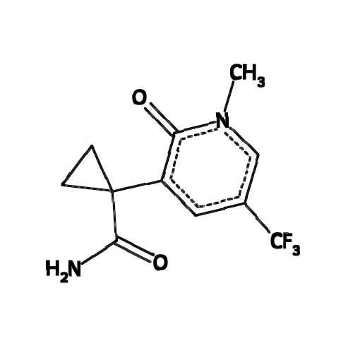 Cn1cc(C(F)(F)F)cc(C2(C(N)=O)CC2)c1=O